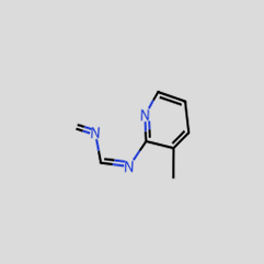 C=N/C=N\c1ncccc1C